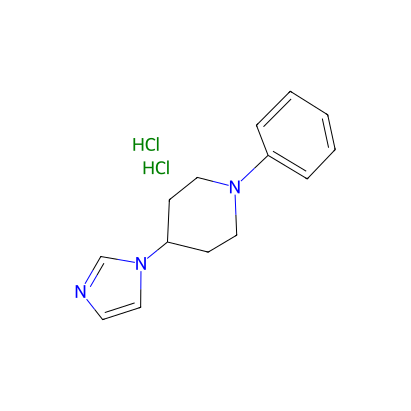 Cl.Cl.c1ccc(N2CCC(n3ccnc3)CC2)cc1